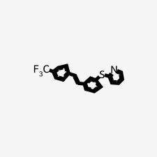 FC(F)(F)c1ccc(C=Cc2cccc(Sc3ccccn3)c2)cc1